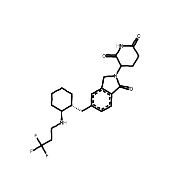 O=C1CCC(N2Cc3cc(C[C@H]4CCCC[C@@H]4NCCC(F)(F)F)ccc3C2=O)C(=O)N1